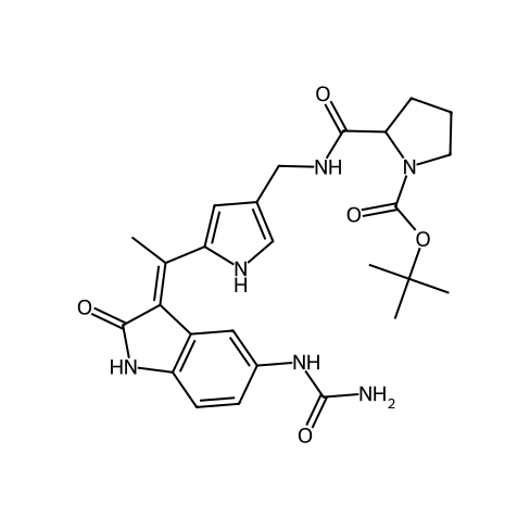 CC(=C1C(=O)Nc2ccc(NC(N)=O)cc21)c1cc(CNC(=O)C2CCCN2C(=O)OC(C)(C)C)c[nH]1